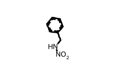 O=[N+]([O-])NCc1ccccc1